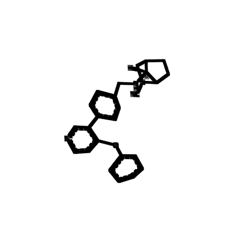 N#CN1CC2CCC1[C@@H]2NCc1ccc(-c2cnccc2Oc2ccccc2)cc1